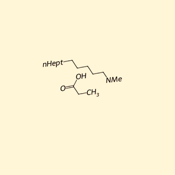 CCC(=O)O.CCCCCCCCCCCCNC